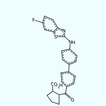 O=C(O)C1CCCC1C(=O)c1ccc(-c2ccc(Nc3nc4ccc(F)cc4s3)cc2)cc1